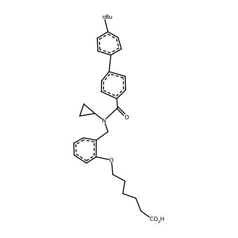 CCCCc1ccc(-c2ccc(C(=O)N(Cc3ccccc3OCCCCCC(=O)O)C3CC3)cc2)cc1